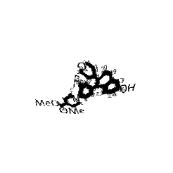 COC(OC)C1CCN(c2ccc(C3c4ccc(O)cc4CCC3C3CCOCC3)cc2F)CC1